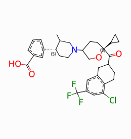 CC1CN(C2CC[C@@](C(=O)C3CCc4c(Cl)cc(C(F)(F)F)cc4C3)(C3CC3)OC2)CC[C@@H]1c1cccc(C(=O)O)c1